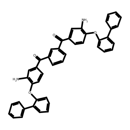 Nc1cc(C(=O)c2cccc(C(=O)c3ccc(Oc4ccccc4-c4ccccc4)c(N)c3)c2)ccc1Oc1ccccc1-c1ccccc1